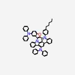 CCCCCc1ccc(N2B3c4oc5ccc(N(c6ccccc6)c6ccccc6)cc5c4-n4c5ccccc5c5c(N(c6ccccc6)c6ccccc6)cc(c3c54)-c3ccccc32)cc1